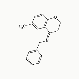 Cc1ccc2c(c1)/C(=N\Cc1ccccc1)CCO2